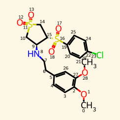 COc1ccc(CCN[C@H]2CS(=O)(=O)C[C@@H]2S(=O)(=O)c2ccc(Cl)cc2)cc1OC